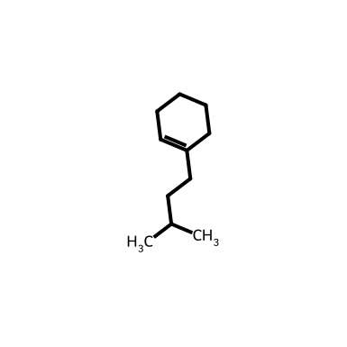 CC(C)CCC1=CCCCC1